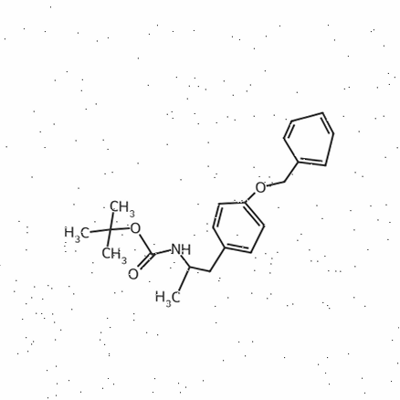 CC(Cc1ccc(OCc2ccccc2)cc1)NC(=O)OC(C)(C)C